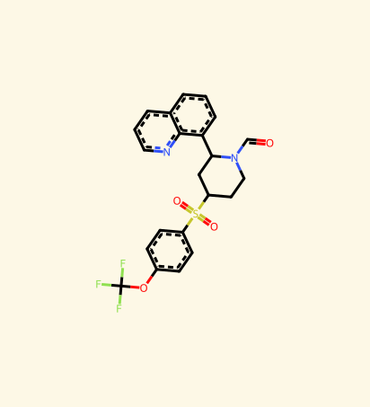 O=CN1CCC(S(=O)(=O)c2ccc(OC(F)(F)F)cc2)CC1c1cccc2cccnc12